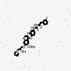 COc1cc2c(Oc3ccc(NC(=S)NC(=O)Cc4cccc(F)c4)cc3F)ccnc2cc1OCC(O)CN1CCCC1